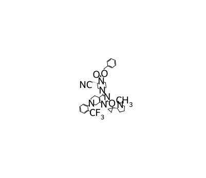 CN1CCC[C@H]1C1(Oc2nc3c(c(N4CCN(C(=O)OCc5ccccc5)[C@@H](CC#N)C4)n2)CCN(c2ccccc2C(F)(F)F)C3)CC1